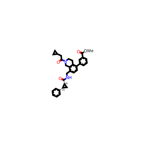 COC(=O)c1cccc(-c2ccc(CNC(=O)[C@@H]3C[C@@H]3c3ccccc3)c3c2CCN(C(=O)CC2CC2)C3)c1